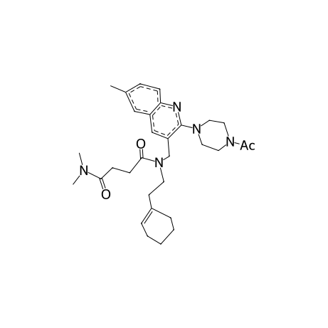 CC(=O)N1CCN(c2nc3ccc(C)cc3cc2CN(CCC2=CCCCC2)C(=O)CCC(=O)N(C)C)CC1